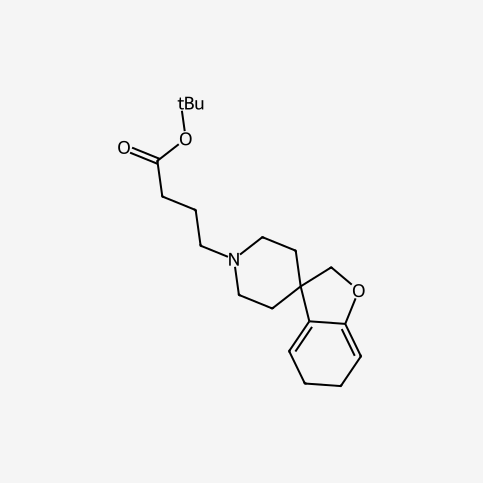 CC(C)(C)OC(=O)CCCN1CCC2(CC1)COC1=CCCC=C12